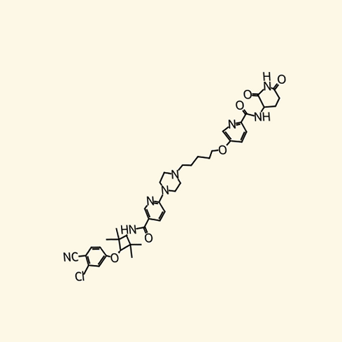 CC1(C)[C@H](NC(=O)c2ccc(N3CCN(CCCCCOc4ccc(C(=O)NC5CCC(=O)NC5=O)nc4)CC3)nc2)C(C)(C)[C@H]1Oc1ccc(C#N)c(Cl)c1